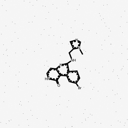 Cn1cncc1CNc1nc2cc[nH]c(=O)c2c2cc(Br)ccc12